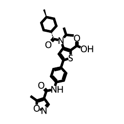 Cc1oncc1C(=O)Nc1ccc(-c2cc(N(C(=O)[C@H]3CC[C@H](C)CC3)C(C)C)c(C(=O)O)s2)cc1